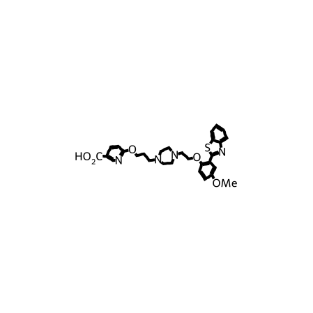 COc1ccc(OCCN2CCN(CCCOc3ccc(C(=O)O)cn3)CC2)c(-c2nc3ccccc3s2)c1